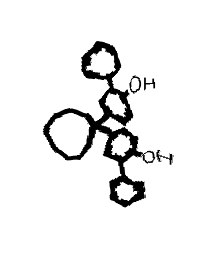 Oc1ccc(C2(c3ccc(O)c(-c4ccccc4)c3)CCCCCCCC2)cc1-c1ccccc1